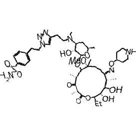 CC[C@H]1OC(=O)[C@H](C)C(=O)[C@H](C)[C@@H](O[C@@H]2O[C@H](C)C[C@H](N(C)CCc3cn(CCc4ccc(S(N)(=O)=O)cc4)nn3)[C@H]2O)[C@](C)(OC)CC/C(=N\OC2CCNCC2)[C@H](C)[C@@H](O)[C@@H]1O